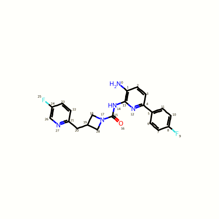 Nc1ccc(-c2ccc(F)cc2)nc1NC(=O)N1CC(Cc2ccc(F)cn2)C1